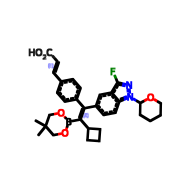 CC1(C)COB(/C(=C(\c2ccc(/C=C/C(=O)O)cc2)c2ccc3c(c2)c(F)nn3C2CCCCO2)C2CCC2)OC1